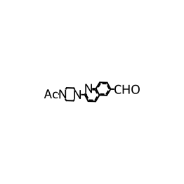 CC(=O)N1CCN(c2ccc3cc(C=O)ccc3n2)CC1